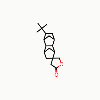 CC(C)(C)C1CC2CC1C1C3CC(C21)C1(COC(=O)C1)C3